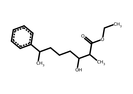 CCOC(=O)C(C)C(O)CCCC(C)c1ccccc1